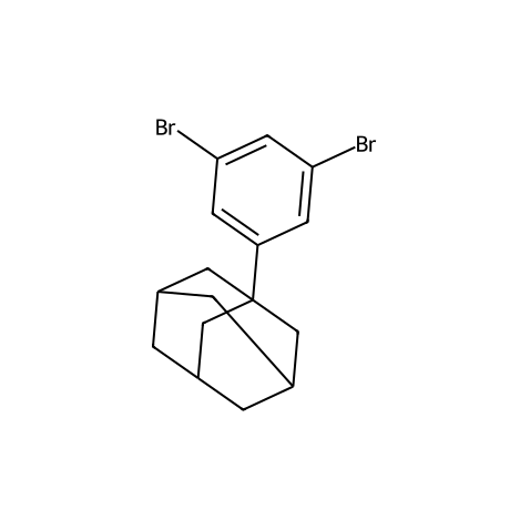 Brc1cc(Br)cc(C23CC4CC(CC(C4)C2)C3)c1